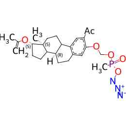 C=C(C)O[C@H]1CCC2[C@@H]3CCc4cc(OCOP(C)(=O)ON=[N+]=[N-])c(C(C)=O)cc4C3CC[C@@]21C